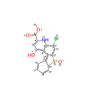 COC(=O)C1=CC(O)=c2c(c(Br)cc3c2=C2C=CC=CC2[S+]3[O-])N1